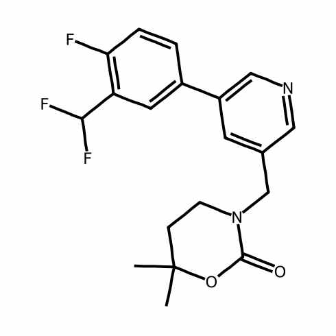 CC1(C)CCN(Cc2cncc(-c3ccc(F)c(C(F)F)c3)c2)C(=O)O1